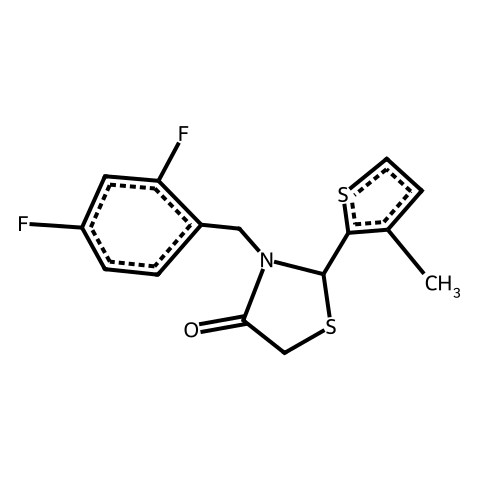 Cc1ccsc1C1SCC(=O)N1Cc1ccc(F)cc1F